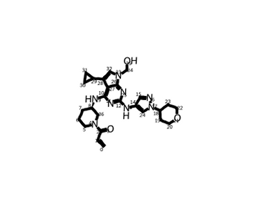 C=CC(=O)N1CCC[C@@H](Nc2nc(Nc3cnn(C4CCOCC4)c3)nc3c2c(C2CC2)cn3CO)C1